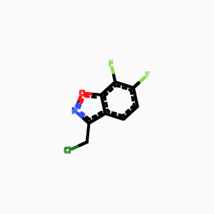 Fc1ccc2c(CCl)noc2c1F